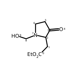 CCOC(=O)CC1C(=O)CCN1CO